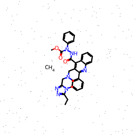 C.CCc1nnc2n1CCN(Cc1c(-c3ccccc3)nc3ccccc3c1C(=O)NN(C(=O)OC)c1ccccc1)C2